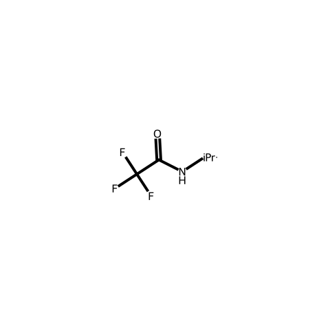 C[C](C)NC(=O)C(F)(F)F